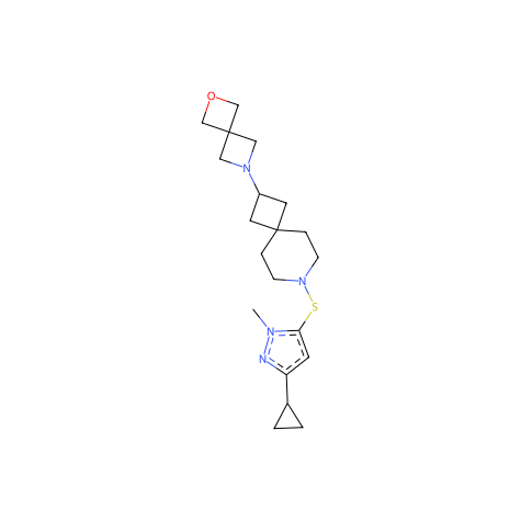 Cn1nc(C2CC2)cc1SN1CCC2(CC1)CC(N1CC3(COC3)C1)C2